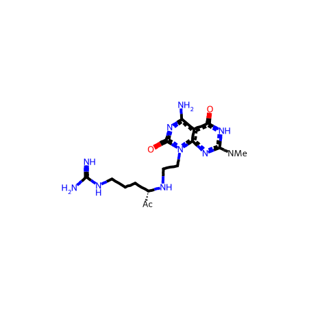 CNc1nc2c(c(N)nc(=O)n2CCN[C@@H](CCCNC(=N)N)C(C)=O)c(=O)[nH]1